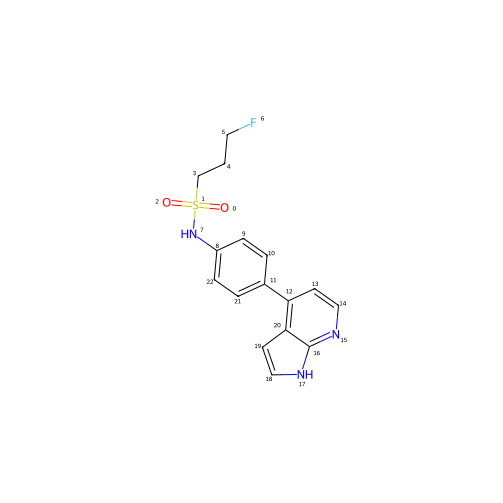 O=S(=O)(CCCF)Nc1ccc(-c2ccnc3[nH]ccc23)cc1